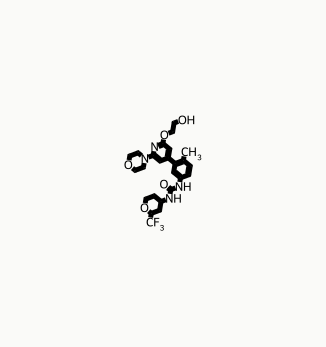 Cc1ccc(NC(=O)NC2CCOC(C(F)(F)F)C2)cc1-c1cc(OCCO)nc(N2CCOCC2)c1